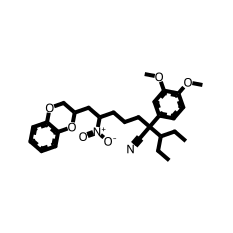 CCC(CC)C(C#N)(CCCC(CC1COc2ccccc2O1)[N+](=O)[O-])c1ccc(OC)c(OC)c1